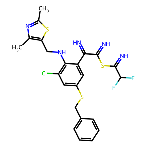 Cc1nc(C)c(CNc2c(Cl)cc(SCc3ccccc3)cc2C(=N)C(=N)SC(=N)C(F)F)s1